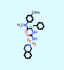 COc1ccc(N(C)C(=O)[C@H](Cc2ccccc2)NC(=O)NS(=O)(=O)N2CCc3ccccc3C2)cc1